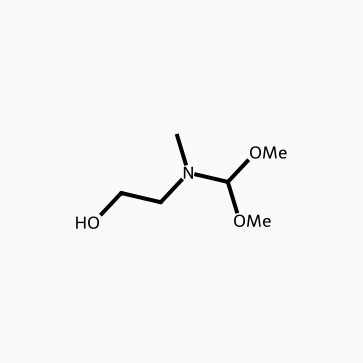 COC(OC)N(C)CCO